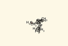 COc1c(Nc2cc(C)[nH]n2)nc(Sc2ccc(S(=O)(=O)C(C)(C)c3c(F)c(F)cc(F)c3F)cc2F)nc1N1CCC(CCN(C)C)CC1